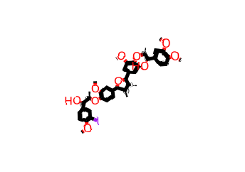 COc1ccc([C@@H](O)[C@@H](C)Oc2ccc(C3OC(c4ccc(O[C@H](C)[C@H](O)c5ccc(OC)c(OC)c5)c(OC)c4)[C@H](C)[C@H]3C)cc2OC)cc1I